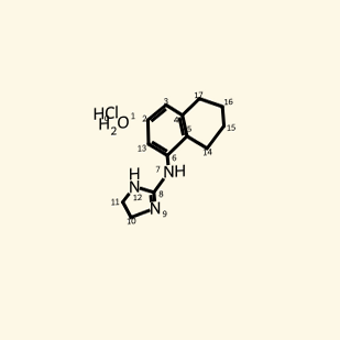 Cl.O.c1cc2c(c(NC3=NCCN3)c1)CCCC2